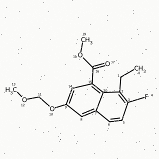 CCc1c(F)ccc2cc(OCOC)cc(C(=O)OC)c12